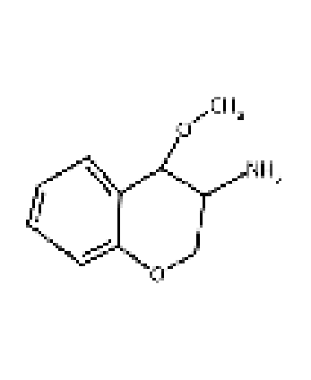 COC1c2ccccc2OCC1N